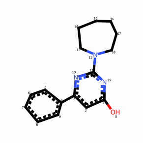 Oc1cc(-c2ccccc2)nc(N2CCCCCC2)n1